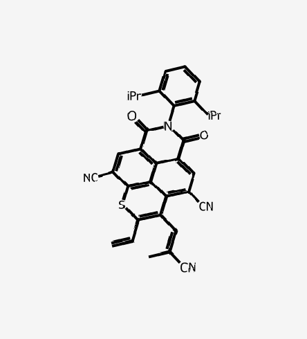 C=Cc1sc2c(C#N)cc3c(=O)n(-c4c(C(C)C)cccc4C(C)C)c(=O)c4cc(C#N)c(c1/C=C(\C)C#N)c2c34